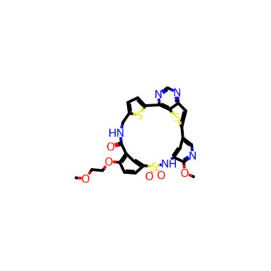 COCCOc1ccc2cc1C(=O)NCc1ccc(s1)-c1ncnc3cc(sc13)-c1cnc(OC)c(c1)NS2(=O)=O